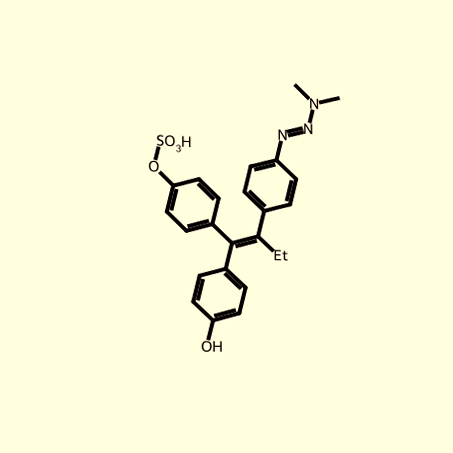 CC/C(=C(\c1ccc(O)cc1)c1ccc(OS(=O)(=O)O)cc1)c1ccc(N=NN(C)C)cc1